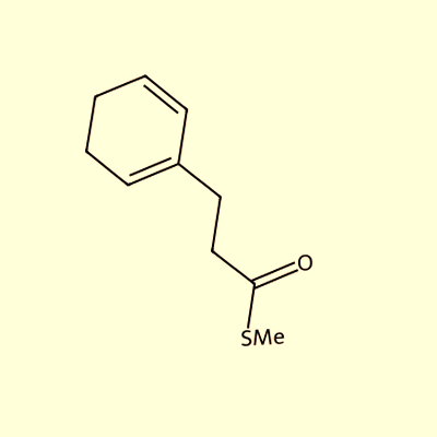 CSC(=O)CCC1=CCCC=C1